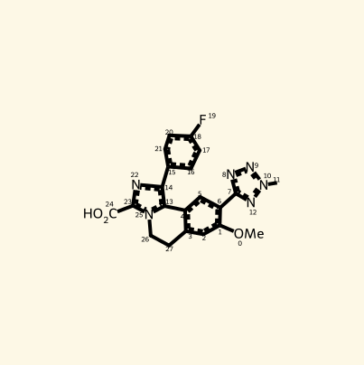 COc1cc2c(cc1-c1nnn(C)n1)-c1c(-c3ccc(F)cc3)nc(C(=O)O)n1CC2